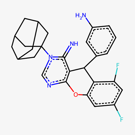 N=c1c2c(ncn1C13CC4CC(CC(C4)C1)C3)Oc1cc(F)cc(F)c1C2c1cccc(N)c1